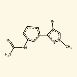 Cn1cc(Br)c(-c2cccc(NC(=N)N)c2)n1